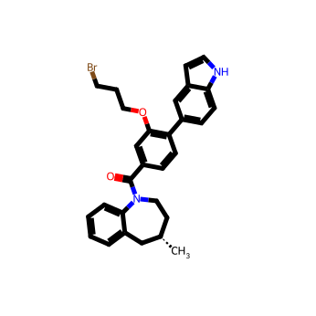 C[C@H]1CCN(C(=O)c2ccc(-c3ccc4[nH]ccc4c3)c(OCCCBr)c2)c2ccccc2C1